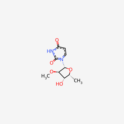 CO[C@@H]1[C@@H](O)[C@@H](C)O[C@H]1n1ccc(=O)[nH]c1=O